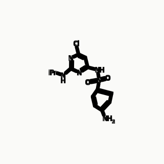 CC(C)Nc1nc(Cl)cc(NS(=O)(=O)c2ccc(N)cc2)n1